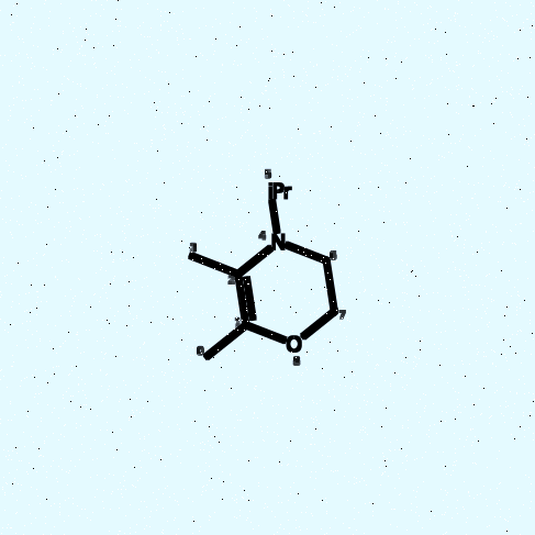 CC1=C(C)N(C(C)C)CCO1